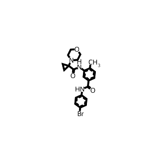 Cc1ccc(C(=O)Nc2ccc(Br)cc2)cc1NC(=O)C1(N2CCOCC2)CC1